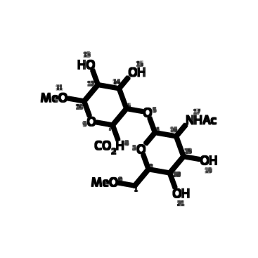 COCC1OC(OC2C(C(=O)O)OC(OC)C(O)C2O)C(NC(C)=O)C(O)C1O